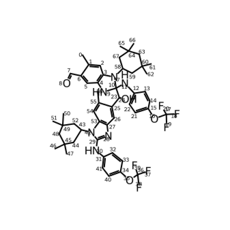 Cc1cc2c(cc1C=O)NC(Nc1ccc(OC(F)(F)F)cc1)(C(O)c1cc3nc(Nc4ccc(OC(F)(F)F)cc4)n(C4CC(C)(C)CC(C)(C)C4)c3cc1C)N2C1CC(C)(C)CC(C)(C)C1